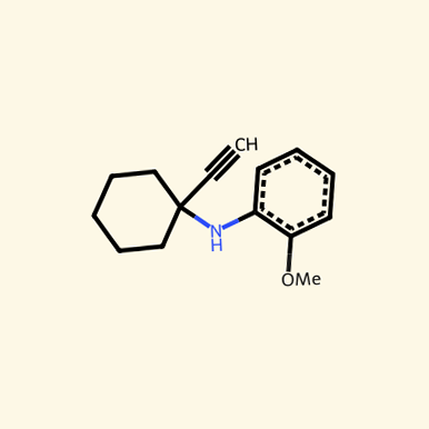 C#CC1(Nc2ccccc2OC)CCCCC1